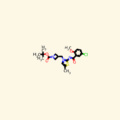 COc1ccc(Cl)cc1C(=O)N=c1sc(C)cn1CC1CN(C(=O)OC(C)(C)C)C1